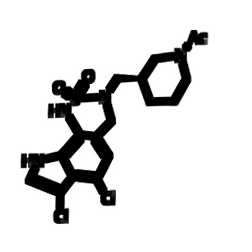 CC(=O)N1CCC[C@@H](CN2Cc3cc(Cl)c4c(Cl)c[nH]c4c3NS2(=O)=O)C1